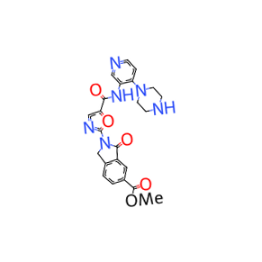 COC(=O)c1ccc2c(c1)C(=O)N(c1ncc(C(=O)Nc3cnccc3N3CCNCC3)o1)C2